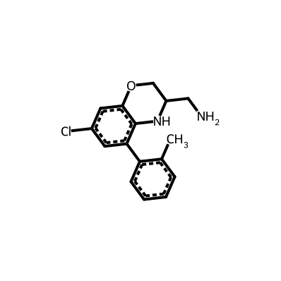 Cc1ccccc1-c1cc(Cl)cc2c1NC(CN)CO2